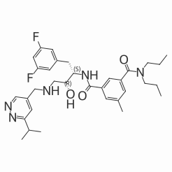 CCCN(CCC)C(=O)c1cc(C)cc(C(=O)N[C@@H](Cc2cc(F)cc(F)c2)[C@H](O)CNCc2cnnc(C(C)C)c2)c1